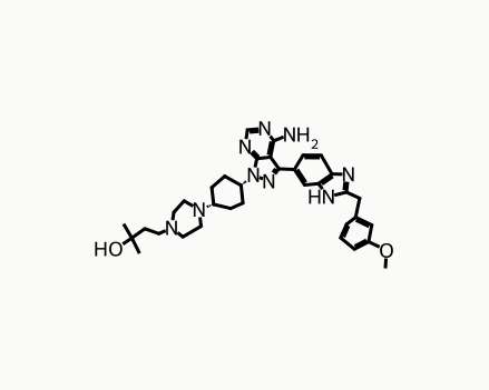 COc1cccc(Cc2nc3ccc(-c4nn([C@H]5CC[C@@H](N6CCN(CCC(C)(C)O)CC6)CC5)c5ncnc(N)c45)cc3[nH]2)c1